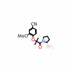 B[C@H]1CCCN1C(=O)C(C)(C)Oc1ccc(C#N)cc1OC